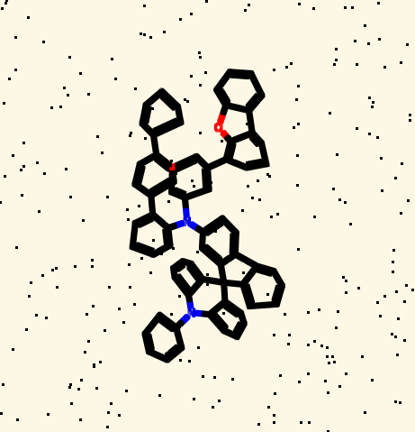 c1ccc(-c2ccc(-c3ccccc3N(c3cccc(-c4cccc5c4oc4ccccc45)c3)c3ccc4c(c3)C3(c5ccccc5-4)c4ccccc4N(c4ccccc4)c4ccccc43)cc2)cc1